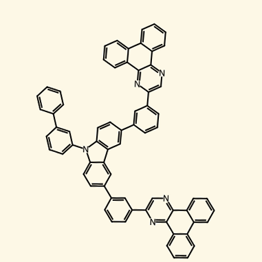 c1ccc(-c2cccc(-n3c4ccc(-c5cccc(-c6cnc7c8ccccc8c8ccccc8c7n6)c5)cc4c4cc(-c5cccc(-c6cnc7c8ccccc8c8ccccc8c7n6)c5)ccc43)c2)cc1